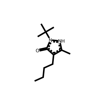 CCCCc1c(C)[nH]n(C(C)(C)C)c1=O